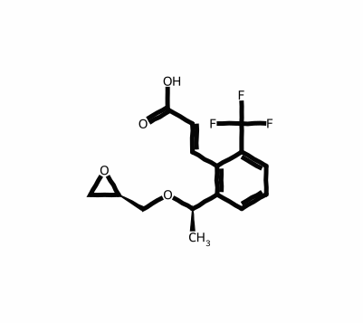 C[C@@H](OC[C@H]1CO1)c1cccc(C(F)(F)F)c1/C=C/C(=O)O